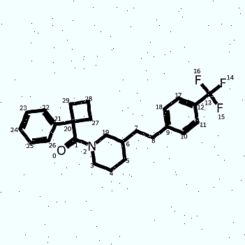 O=C(N1CCCC(CCc2ccc(C(F)(F)F)cc2)C1)C1(c2ccccc2)CCC1